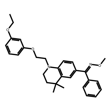 CCOc1[c]c(OCCN2CCC(C)(C)c3cc(C(=NOC)c4ccccc4)ccc32)ccc1